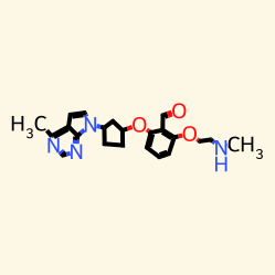 CNCCOc1cccc(OC2CCC(n3ccc4c(C)ncnc43)C2)c1C=O